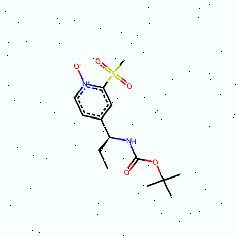 CC[C@H](NC(=O)OC(C)(C)C)c1cc[n+]([O-])c(S(C)(=O)=O)c1